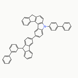 c1ccc(-c2ccc(-n3c4ccc(-c5ccc6c(c5)-c5ccccc5C6c5cccc(-c6ccccc6)c5)cc4c4c5c(ccc43)Cc3ccccc3-5)cc2)cc1